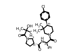 CC(C)[C@@H](NC(=O)[C@@H]1CCN(C(=O)C(C)(C)O)C1)C(=O)N1CC[C@H](c2ccc(Cl)cc2)C(C)(C)C1